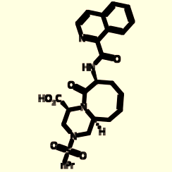 CCCS(=O)(=O)N1C[C@@H]2CC=CC[C@H](NC(=O)c3nccc4ccccc34)C(=O)N2[C@H](C(=O)O)C1